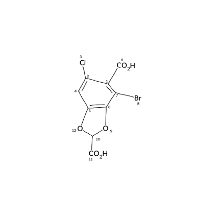 O=C(O)c1c(Cl)cc2c(c1Br)OC(C(=O)O)O2